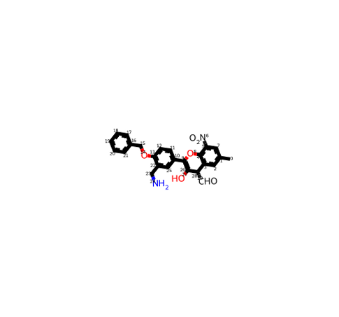 Cc1cc2c(c([N+](=O)[O-])c1)OC(c1ccc(OCc3ccccc3)c(CN)c1)=C(O)C2C=O